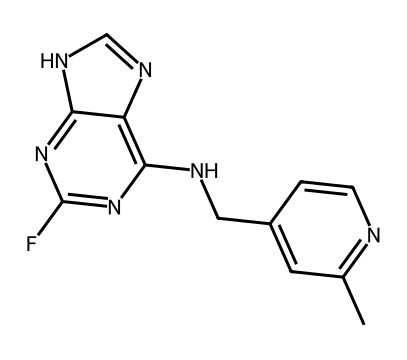 Cc1cc(CNc2nc(F)nc3[nH]cnc23)ccn1